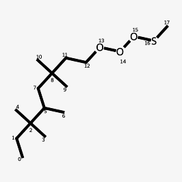 CCC(C)(C)C(C)CC(C)(C)CCOOOSC